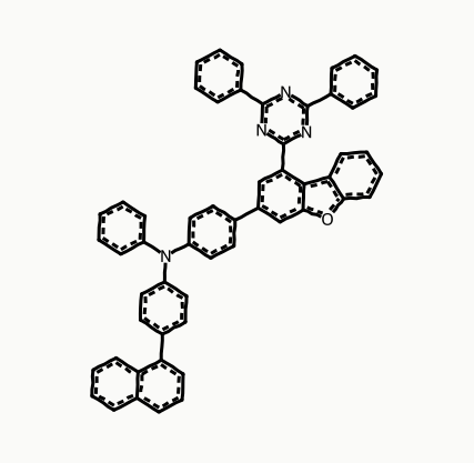 c1ccc(-c2nc(-c3ccccc3)nc(-c3cc(-c4ccc(N(c5ccccc5)c5ccc(-c6cccc7ccccc67)cc5)cc4)cc4oc5ccccc5c34)n2)cc1